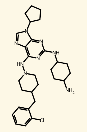 NC1CCC(Nc2nc(NN3CCC(Cc4ccccc4Cl)CC3)c3ncn(C4CCCC4)c3n2)CC1